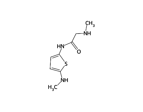 CNCC(=O)Nc1ccc(NC)s1